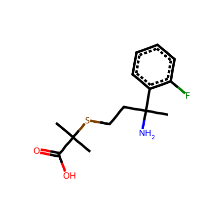 CC(C)(SCCC(C)(N)c1ccccc1F)C(=O)O